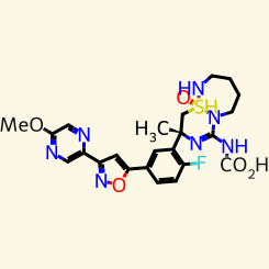 COc1cnc(-c2cc(-c3ccc(F)c([C@]4(C)C[SH]5(=O)NCCCCN5C(NC(=O)O)=N4)c3)on2)cn1